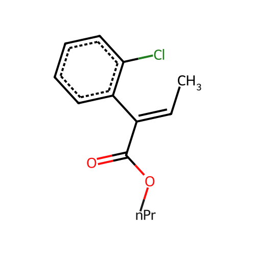 C/C=C(/C(=O)OCCC)c1ccccc1Cl